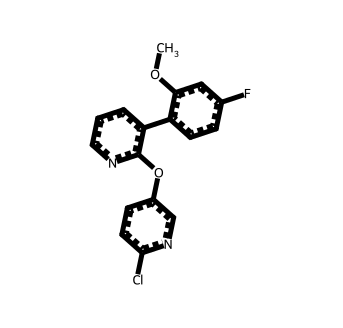 COc1cc(F)ccc1-c1cccnc1Oc1ccc(Cl)nc1